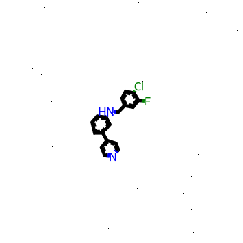 Fc1cc(CNc2cccc(-c3ccncc3)c2)ccc1Cl